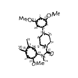 COc1cc(OC)cc(N2CCN(C(=O)N(C)c3cc(C)c(C)cc3OC)CC2)c1